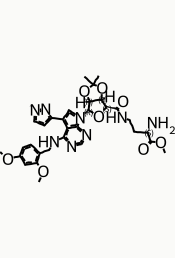 COC(=O)[C@@H](N)CCNC(=O)[C@H]1O[C@@H](n2cc(-c3ccn(C)n3)c3c(NCc4ccc(OC)cc4OC)ncnc32)[C@@H]2OC(C)(C)O[C@@H]21